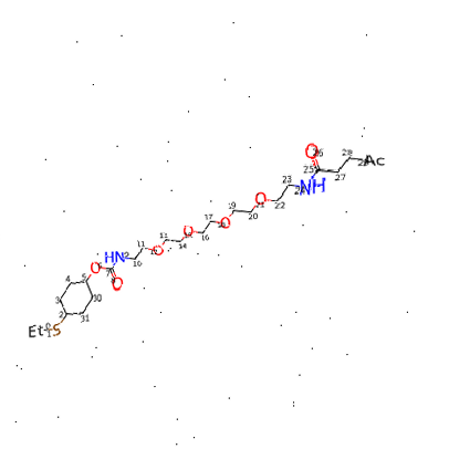 CCSC1CCC(OC(=O)NCCOCCOCCOCCOCCNC(=O)CCC(C)=O)CC1